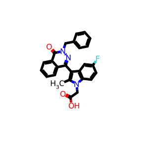 Cc1c(-c2nn(Cc3ccccc3)c(=O)c3ccccc23)c2cc(F)ccc2n1CC(=O)O